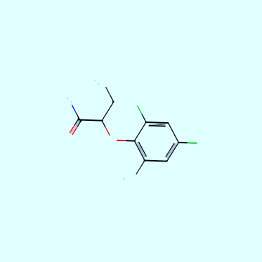 N#CCC(Oc1c(Cl)cc(Cl)cc1C=O)C(N)=O